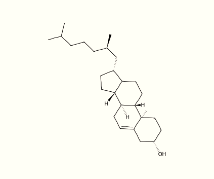 CC(C)CCC[C@@H](C)C[C@H]1CC[C@@H]2C1CC[C@H]1[C@H]2CC=C2C[C@@H](O)CC[C@@]21C